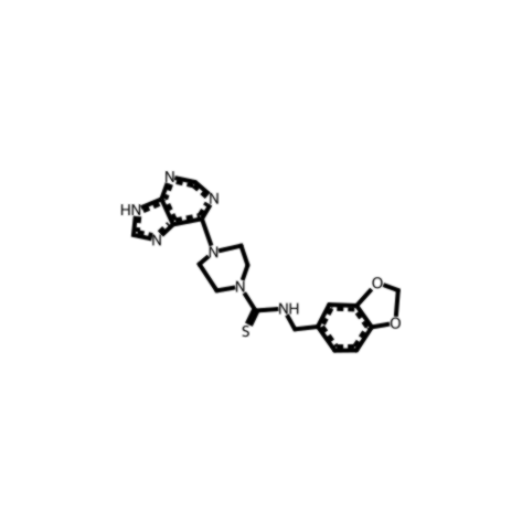 S=C(NCc1ccc2c(c1)OCO2)N1CCN(c2ncnc3[nH]cnc23)CC1